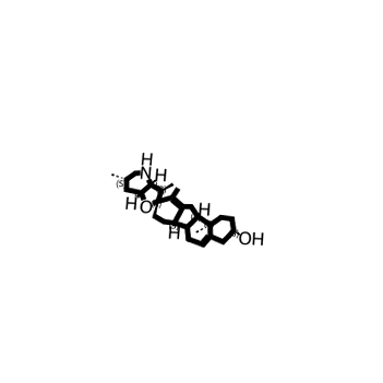 CC1=C2C[C@H]3C(CC=C4C[C@@H](O)CC[C@@]43C)[C@@H]2CC[C@]12O[C@@H]1C[C@H](C)CN[C@H]1[C@H]2C